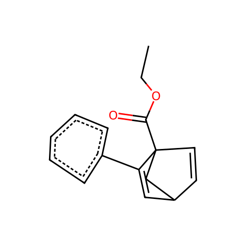 CCOC(=O)C12C=CC(C=C1c1ccccc1)C2